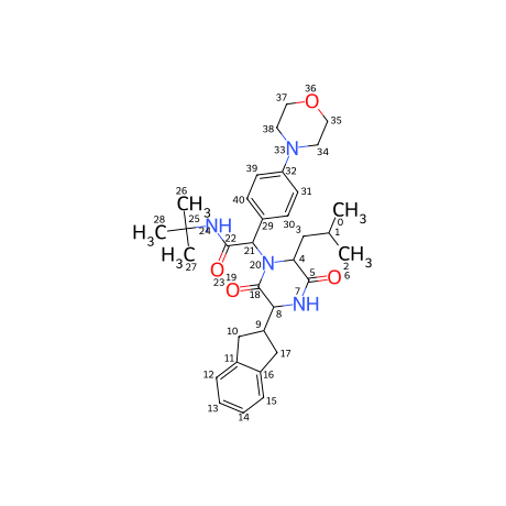 CC(C)CC1C(=O)NC(C2Cc3ccccc3C2)C(=O)N1C(C(=O)NC(C)(C)C)c1ccc(N2CCOCC2)cc1